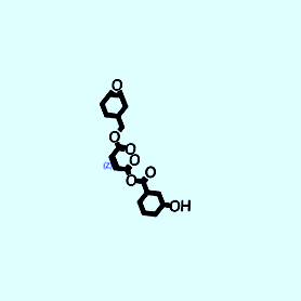 O=C(/C=C\C(=O)OC(=O)C1CCCC(O)C1)OCC1CCC2OC2C1